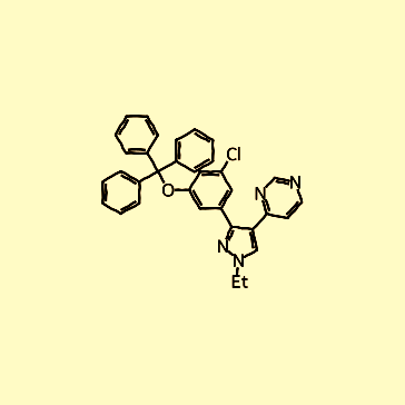 CCn1cc(-c2ccncn2)c(-c2cc(Cl)cc(OC(c3ccccc3)(c3ccccc3)c3ccccc3)c2)n1